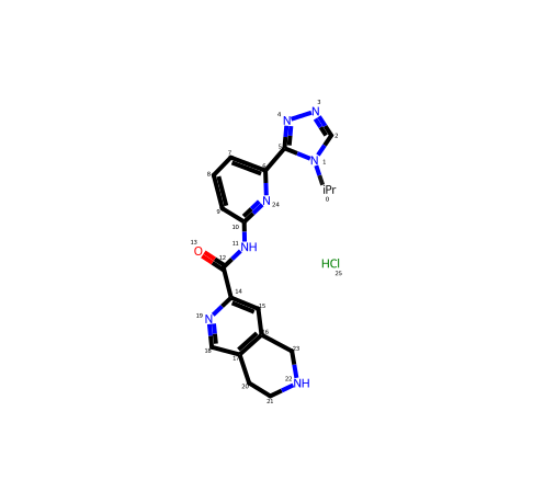 CC(C)n1cnnc1-c1cccc(NC(=O)c2cc3c(cn2)CCNC3)n1.Cl